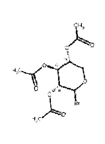 CC(=O)O[C@H]1[C@H](OC(C)=O)COC(Br)[C@@H]1OC(C)=O